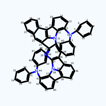 c1ccc(N(c2ccccc2)c2cccc3c4c5ccccc5cc5c6nc7c(cc6n(c23)c54)c2cccc3c4cccc(N(c5ccccc5)c5ccccc5)c4n7c23)cc1